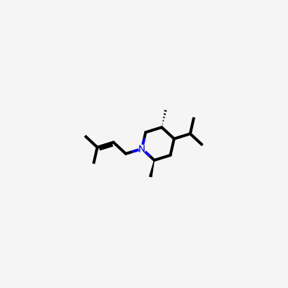 CC(C)=CCN1C[C@H](C)C(C(C)C)C[C@H]1C